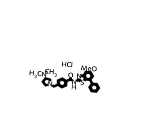 COc1ccc(-c2ccccc2)c2sc(NC(=O)c3ccc(CN4CC[C@H](N(C)C)C4)cc3)nc12.Cl